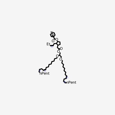 CC/C=C\CC1C(CC(=O)OCC(COCCCCCCCC/C=C\C/C=C\CCCCC)OCCCCCCCC/C=C\C/C=C\CCCCC)CCC1OC(=O)C12CCN(CC1)CC2